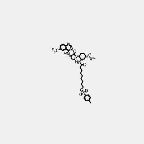 Cc1ccc(S(=O)(=O)OCCCCCCCCC(=O)N[C@@H]2C[C@H](N(C)C(C)C)CC[C@@H]2N2CC[C@H](Nc3ncnc4ccc(C(F)(F)F)cc34)C2=O)cc1